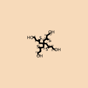 OCCC(=S)CC(CC(=S)CCO)(CC(=S)CCO)CC(=S)CCO